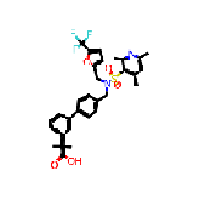 Cc1cc(C)c(S(=O)(=O)N(Cc2ccc(-c3cccc(C(C)(C)C(=O)O)c3)cc2)Cc2ccc(C(F)(F)F)o2)c(C)n1